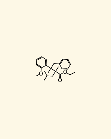 CCOC(=O)C(C)(CC(C)C)C(C)(Cc1ccccc1)c1ccccc1OC